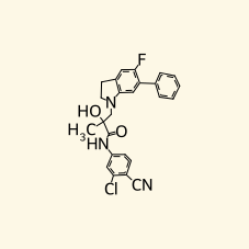 CC(O)(CN1CCc2cc(F)c(-c3ccccc3)cc21)C(=O)Nc1ccc(C#N)c(Cl)c1